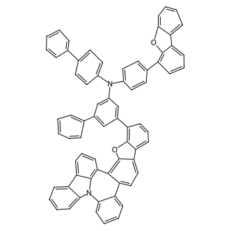 c1ccc(-c2ccc(N(c3ccc(-c4cccc5c4oc4ccccc45)cc3)c3cc(-c4ccccc4)cc(-c4cccc5c4oc4c6c(ccc45)-c4ccccc4-n4c5ccccc5c5cccc-6c54)c3)cc2)cc1